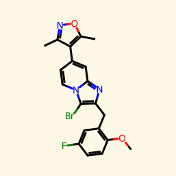 COc1ccc(F)cc1Cc1nc2cc(-c3c(C)noc3C)ccn2c1Br